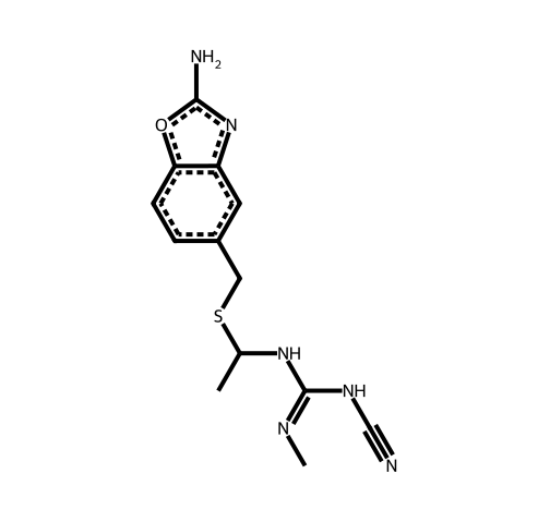 CN=C(NC#N)NC(C)SCc1ccc2oc(N)nc2c1